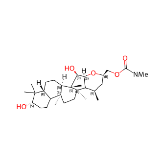 CNC(=O)OC[C@H]1C[C@@H](C)C2[C@H](O1)[C@H](O)[C@@]1(C)[C@@H]3CC[C@@H]4C(CC[C@H](O)C4(C)C)[C@]3(C)CC[C@]21C